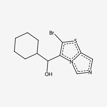 OC(c1c(Br)sc2cncn12)C1CCCCC1